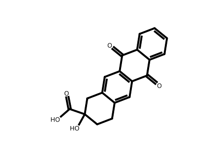 O=C1c2ccccc2C(=O)c2cc3c(cc21)CCC(O)(C(=O)O)C3